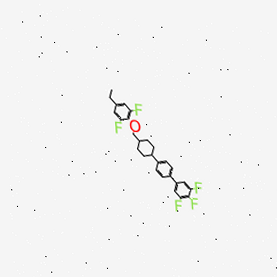 CCc1cc(F)c(OCC2CCC(c3ccc(-c4cc(F)c(F)c(F)c4)cc3)CC2)c(F)c1